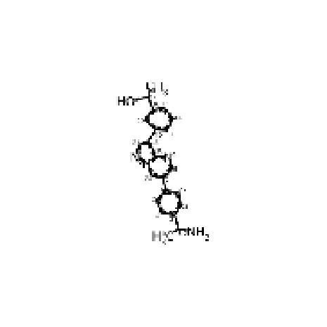 CC(N)c1ccc(-c2cnc3c(-c4cccc(C(C)O)c4)cnn3c2)cc1